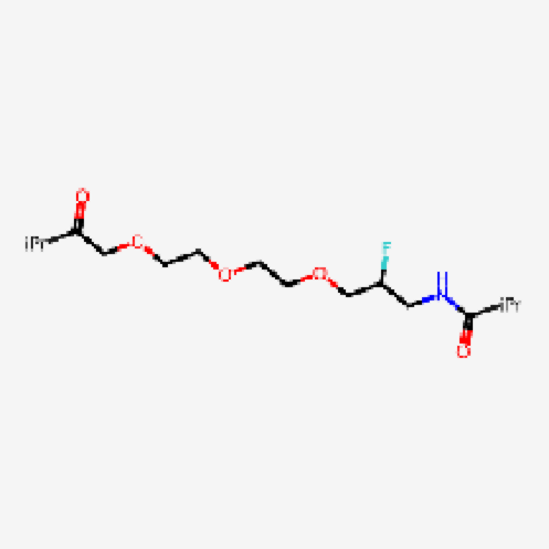 CC(C)C(=O)COCCOCCOCC(F)CNC(=O)C(C)C